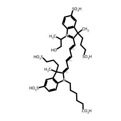 CC(CO)[N+]1=C(/C=C/C=C/C=C2/N(CCCCCC(=O)O)c3ccc(S(=O)(=O)O)cc3C2(C)CCCS(=O)(=O)O)C(C)(CCCS(=O)(=O)O)c2cc(S(=O)(=O)O)ccc21